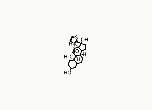 C[C@]12CCC(O)CC1CC[C@@H]1[C@H]2CC[C@]2(C)C(O)(c3nccs3)CC[C@@]12O